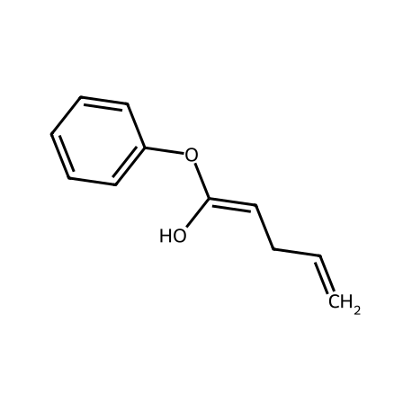 C=CCC=C(O)Oc1ccccc1